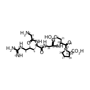 N=C(N)NCCC[C@H](NC(=O)CN)C(=O)NCC(=O)N[C@@H](CC(=O)O)C(=O)N1CCC[C@H]1C(=O)O